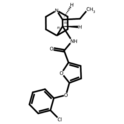 CC[C@H]1[C@H](NC(=O)c2ccc(Oc3ccccc3Cl)o2)C2CCN1CC2